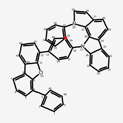 c1ccc(-c2cccc3c2oc2c(-c4ccc(-n5c6ccccc6c6ccc7ccn(-c8ccccc8)c7c65)cc4)cccc23)cc1